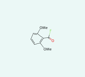 COc1cccc(OC)c1C(=O)F